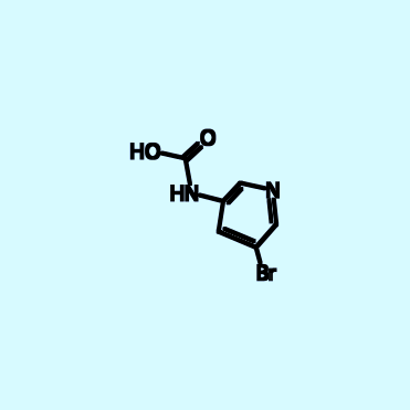 O=C(O)Nc1cncc(Br)c1